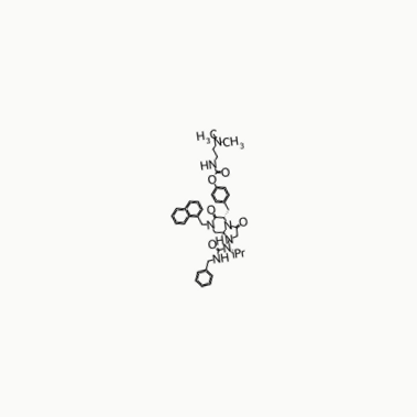 CC(C)N(C(=O)NCc1ccccc1)N1CC(=O)N2[C@@H](Cc3ccc(OC(=O)NCCN(C)C)cc3)C(=O)N(Cc3cccc4ccccc34)C[C@@H]21